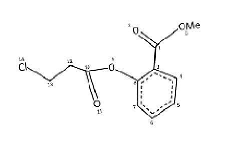 COC(=O)c1ccccc1OC(=O)CCCl